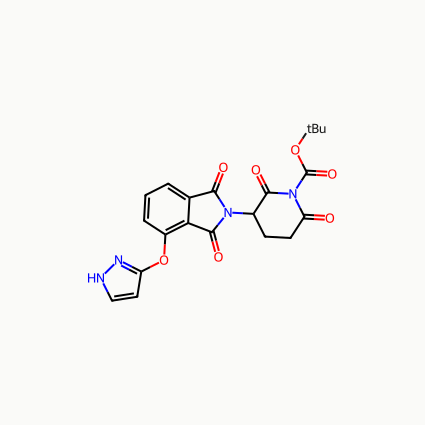 CC(C)(C)OC(=O)N1C(=O)CCC(N2C(=O)c3cccc(Oc4cc[nH]n4)c3C2=O)C1=O